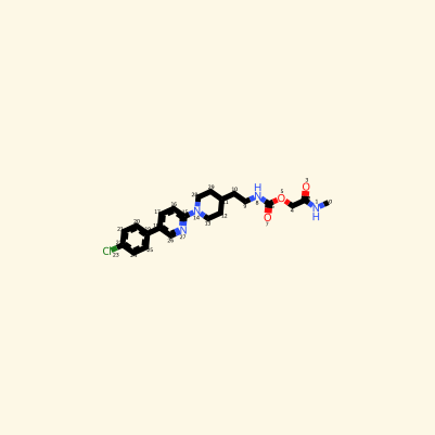 CNC(=O)COC(=O)NCCC1CCN(c2ccc(-c3ccc(Cl)cc3)cn2)CC1